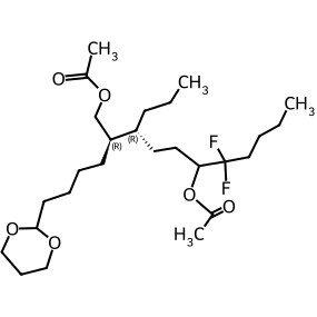 CCCCC(F)(F)C(CC[C@@H](CCC)[C@@H](CCCCC1OCCCO1)COC(C)=O)OC(C)=O